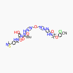 Cc1ncsc1-c1ccc([C@H](C)NC(=O)[C@@H]2C[C@@H](O)CN2C(=O)[C@@H](NC(=O)CN2CCN(CCOCCN3CCN(c4ccc(C(=O)NC5C(C)(C)C(Oc6ccc(C#N)c(Cl)c6)C5(C)C)cn4)CC3)CC2)C(C)(C)C)cc1